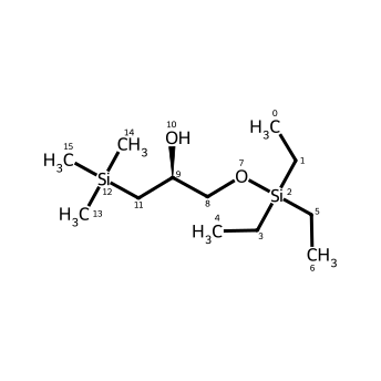 CC[Si](CC)(CC)OC[C@H](O)C[Si](C)(C)C